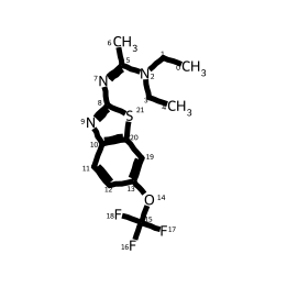 CCN(CC)C(C)=Nc1nc2ccc(OC(F)(F)F)cc2s1